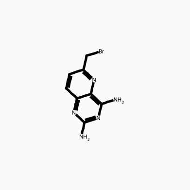 Nc1nc(N)c2nc(CBr)ccc2n1